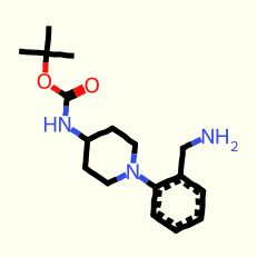 CC(C)(C)OC(=O)NC1CCN(c2ccccc2CN)CC1